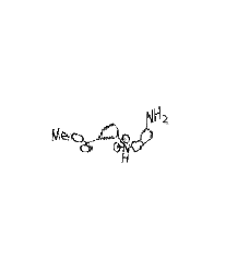 COC(=O)c1cccc(S(=O)(=O)Nc2ccc3ccc(N)cc3c2)c1